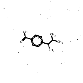 CC(C)[C@@H](C)c1ccc(C(=O)O)cc1